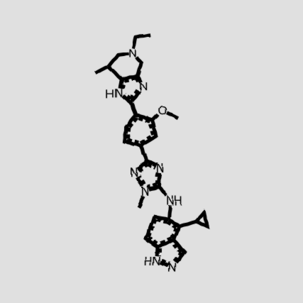 CCN1Cc2nc(-c3ccc(-c4nc(Nc5ccc6[nH]ncc6c5C5CC5)n(C)n4)cc3OC)[nH]c2C(C)C1